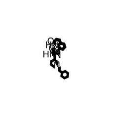 O=c1ccc2cccc(-n3nc(C4CCCN(CCC5CCCCC5)C4)[nH]c3=O)c2[nH]1